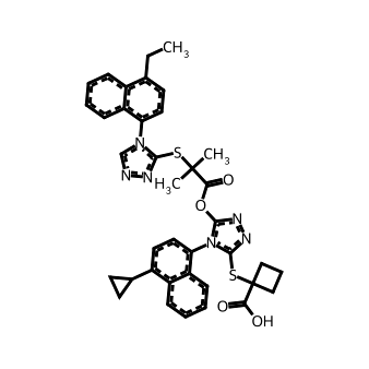 CCc1ccc(-n2cnnc2SC(C)(C)C(=O)Oc2nnc(SC3(C(=O)O)CCC3)n2-c2ccc(C3CC3)c3ccccc23)c2ccccc12